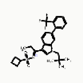 CC/C(=N\S(=O)(=O)C1CCC1)c1cn(CC(C)(C)C)c2cc(-c3ccccc3C(F)(F)F)ccc12